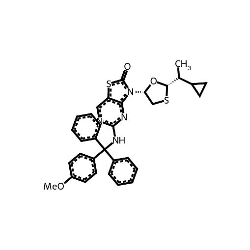 COc1ccc(C(Nc2ncc3sc(=O)n([C@H]4CS[C@@H](C(C)C5CC5)O4)c3n2)(c2ccccc2)c2ccccc2)cc1